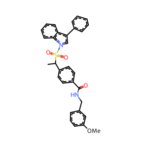 COc1cccc(CNC(=O)c2ccc(C(C)S(=O)(=O)n3cc(-c4ccccc4)c4ccccc43)cc2)c1